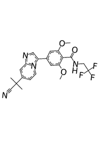 COc1cc(-c2cnc3cc(C(C)(C)C#N)ccn23)cc(OC)c1C(=O)NCC(F)(F)F